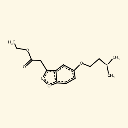 CCOC(=O)Cc1noc2ccc(OCCN(C)C)cc12